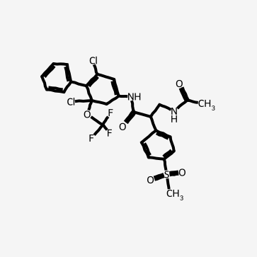 CC(=O)NCC(C(=O)NC1=CC(Cl)=C(c2ccccc2)C(Cl)(OC(F)(F)F)C1)c1ccc(S(C)(=O)=O)cc1